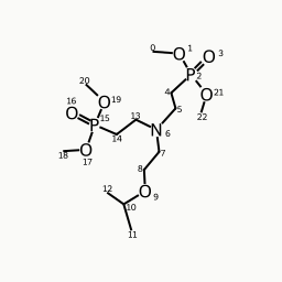 COP(=O)(CCN(CCOC(C)C)CCP(=O)(OC)OC)OC